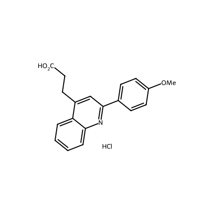 COc1ccc(-c2cc(CCC(=O)O)c3ccccc3n2)cc1.Cl